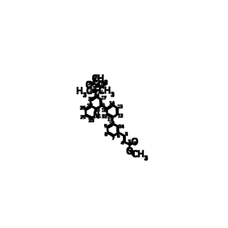 COC(=O)C=Cc1cccc(-c2cccc(-c3cc(C(C)(C)S(C)(=O)=O)cc4cccnc34)c2)c1